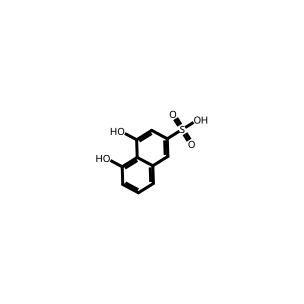 O=S(=O)(O)c1cc(O)c2c(O)cccc2c1